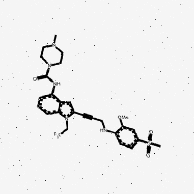 COc1cc(S(C)(=O)=O)ccc1NCC#Cc1cc2c(NC(=O)N3CCN(C)CC3)cccc2n1CC(F)(F)F